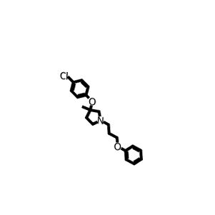 CC1(Oc2ccc(Cl)cc2)CCN(CCCOc2ccccc2)C1